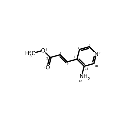 COC(=O)/C=C/c1ccncc1N